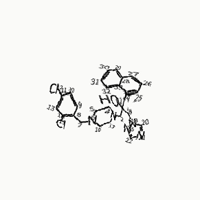 OC(CN1CCN(Cc2ccc(Cl)cc2Cl)CC1)(Cn1cncn1)c1cccc2ccccc12